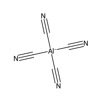 N#[C][Al-]([C]#N)([C]#N)[C]#N